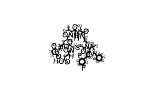 CC(C)C(NC(=O)CCCCCN1C(=O)C=CC1=O)C(=O)N[C@@H](C)C(=O)NCCCN(C(=O)CSC[C@H](NC(=O)CCC(=O)O)C(=O)O)[C@@H](c1cc(-c2cc(F)ccc2F)cn1Cc1ccccc1)C(C)(C)C